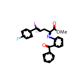 COC(=O)C(C/C=C(\I)c1ccc(F)cc1)=Nc1ccccc1C(=O)c1ccccc1